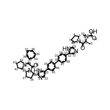 C[C@@H](C(=O)N1CCC[C@H]1c1ncc(-c2ccc(-c3ccc(-c4cnc([C@@H]5CCCN5C(=O)[C@@H](c5ccccc5)N5CCCC5)[nH]4)cc3)cc2)[nH]1)N(C)C(=O)O